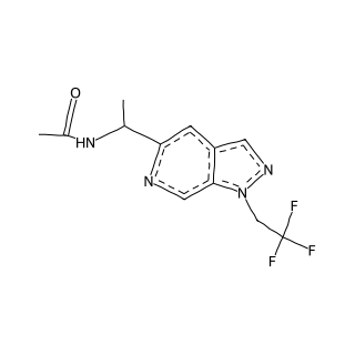 CC(=O)NC(C)c1cc2cnn(CC(F)(F)F)c2cn1